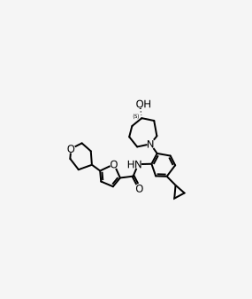 O=C(Nc1cc(C2CC2)ccc1N1CCC[C@H](O)CC1)c1ccc(C2CCOCC2)o1